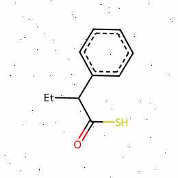 CCC(C(=O)S)c1ccccc1